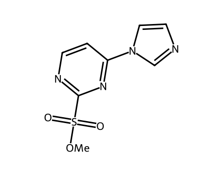 COS(=O)(=O)c1nccc(-n2ccnc2)n1